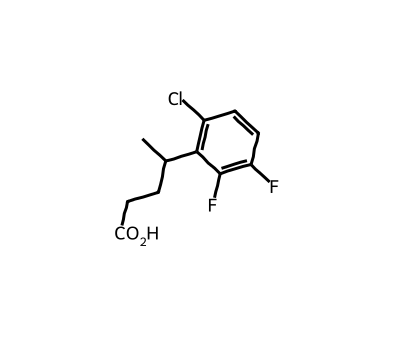 CC(CCC(=O)O)c1c(Cl)ccc(F)c1F